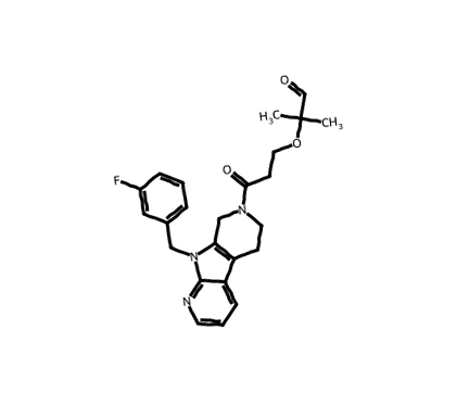 CC(C)(C=O)OCCC(=O)N1CCc2c(n(Cc3cccc(F)c3)c3ncccc23)C1